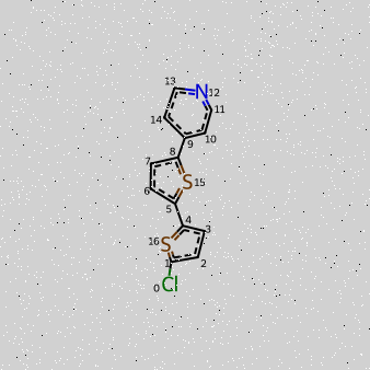 Clc1ccc(-c2ccc(-c3ccncc3)s2)s1